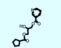 O=C(OCC(O)COC(=O)C1CCCC1)c1cccnc1